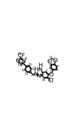 N=C1C=C(Oc2ccc3c(c2)OCO3)C(Cl)=C/C1=N/NCc1ccc(-c2noc(C(F)(F)F)n2)cc1